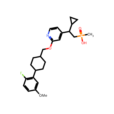 COc1ccc(F)c(C2CCC(COc3cc(C(CP(C)(=O)O)C4CC4)ccn3)CC2)c1